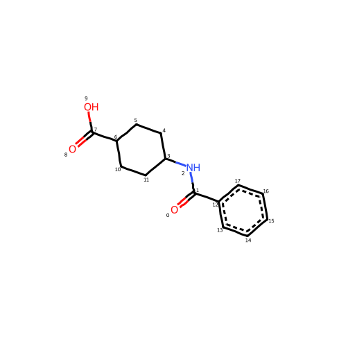 O=C(NC1CCC(C(=O)O)CC1)c1ccccc1